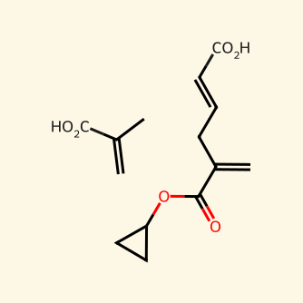 C=C(C)C(=O)O.C=C(CC=CC(=O)O)C(=O)OC1CC1